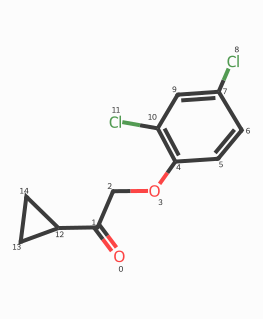 O=C(COc1ccc(Cl)cc1Cl)C1CC1